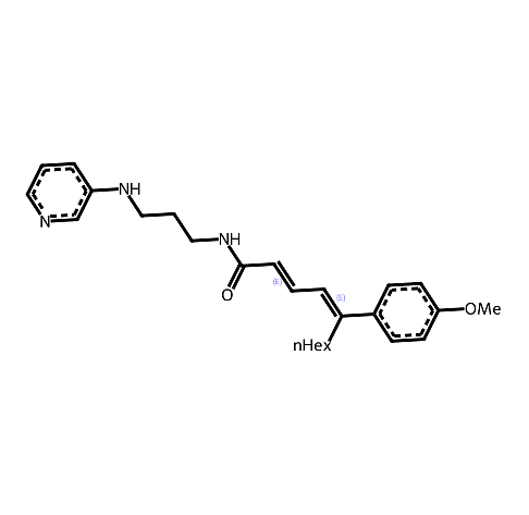 CCCCCC/C(=C\C=C\C(=O)NCCCNc1cccnc1)c1ccc(OC)cc1